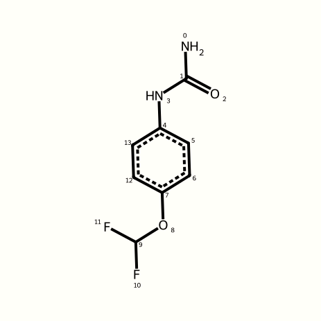 NC(=O)Nc1ccc(OC(F)F)cc1